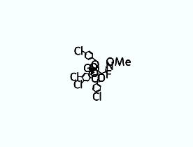 CON=CC(F)C(OCc1ccc(Cl)cc1)C(COCc1ccc(Cl)cc1)OS(=O)(=O)c1cc(Cl)c(Cl)cc1Cl